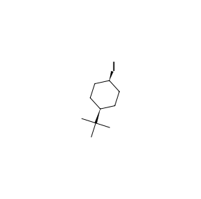 CC(C)(C)[C@H]1CC[C@@H](I)CC1